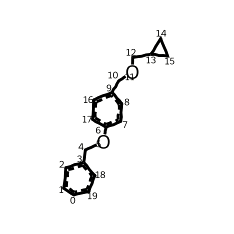 c1ccc(COc2ccc(COCC3CC3)cc2)cc1